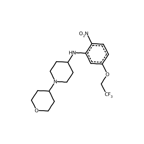 O=[N+]([O-])c1ccc(OCC(F)(F)F)cc1NC1CCN(C2CCOCC2)CC1